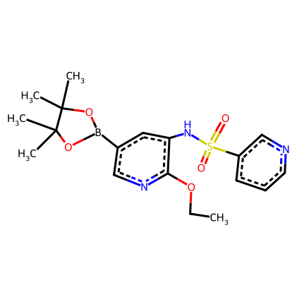 CCOc1ncc(B2OC(C)(C)C(C)(C)O2)cc1NS(=O)(=O)c1cccnc1